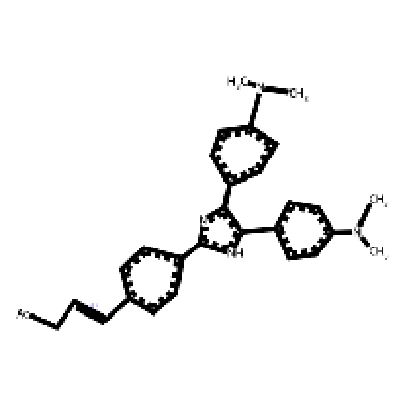 CC(=O)C/C=C/c1ccc(-c2nc(-c3ccc(N(C)C)cc3)c(-c3ccc(N(C)C)cc3)[nH]2)cc1